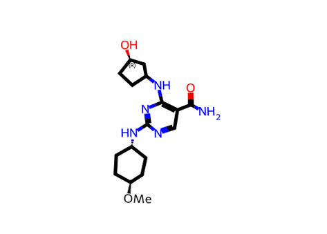 CO[C@H]1CC[C@H](Nc2ncc(C(N)=O)c(NC3CC[C@@H](O)C3)n2)CC1